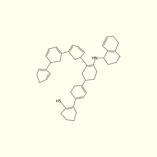 SC1=C(C2=CC=C(C3CCC(NC4CCCC5=C4C=CCC5)=C(C4C=CC=C(C5=CC=CC(C6=CCCC=C6)C5)C4)C3)CC2)CCCC1